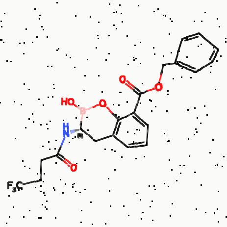 O=C(CCC(F)(F)F)N[C@H]1Cc2cccc(C(=O)OCc3ccccc3)c2OB1O